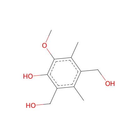 COc1c(C)c(CO)c(C)c(CO)c1O